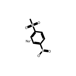 CS(=O)(=O)c1ccc(S(=O)[O-])cc1.[Na+]